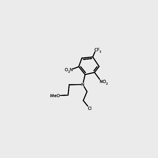 COCCN(CCCl)c1c([N+](=O)[O-])cc(C(F)(F)F)cc1[N+](=O)[O-]